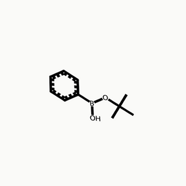 CC(C)(C)OB(O)c1ccccc1